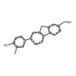 CCCCCCCc1ccc2c(c1)Cc1cc(-c3ccc(C#N)c(F)c3)ccc1-2